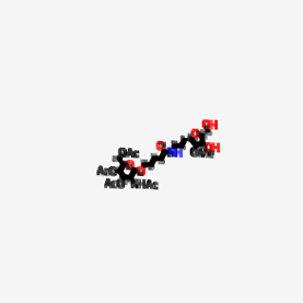 CO[C@@H]1[C@H](O)[C@@H](CO)O[C@H]1CCCNC(=O)CCCCO[C@@H]1O[C@H](COC(C)=O)[C@H](OC(C)=O)[C@H](OC(C)=O)[C@H]1NC(C)=O